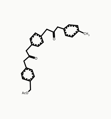 CC(=O)OCc1ccc(CC(=O)Cc2ccc(CC(=O)Cc3ccc(C)cc3)cc2)cc1